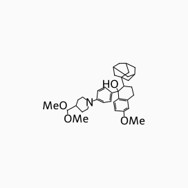 COc1ccc2c(c1)CCC(C13CC4CC(CC(C4)C1)C3)C2(O)c1ccc(N2CCC(C(OC)OC)CC2)cc1